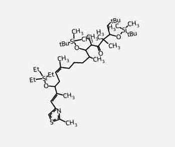 CC[Si](CC)(CC)OC(C/C=C(/C)CCCC(C)C(O[Si](C)(C)C(C)(C)C)C(C)C(=O)C(C)(C)C(CC(C)(C)C)O[Si](C)(C)C(C)(C)C)/C(C)=C/c1csc(C)n1